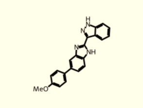 COc1ccc(-c2ccc3[nH]c(-c4n[nH]c5ccccc45)nc3c2)cc1